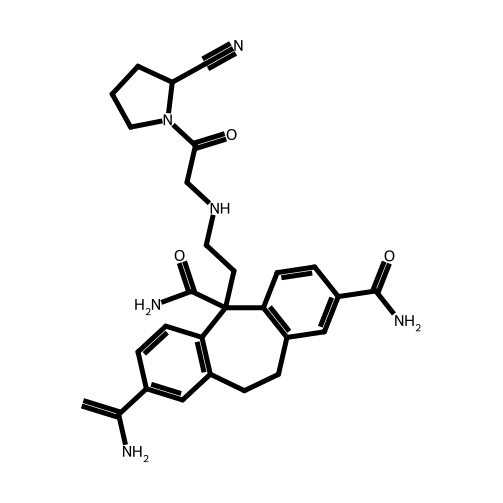 C=C(N)c1ccc2c(c1)CCc1cc(C(N)=O)ccc1C2(CCNCC(=O)N1CCCC1C#N)C(N)=O